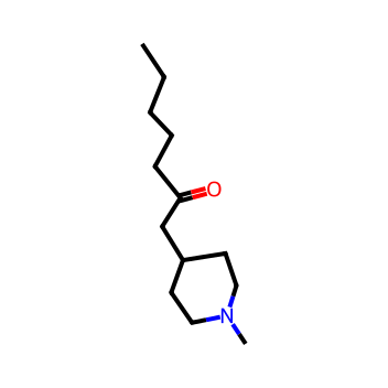 CCCCCC(=O)CC1CCN(C)CC1